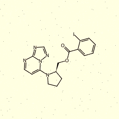 O=C(OC[C@H]1CCCN1c1ccnc2ncnn12)c1ccccc1I